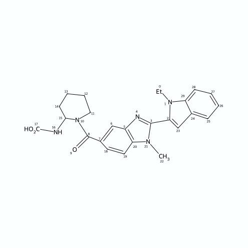 CCn1c(-c2nc3cc(C(=O)N4CCCCC4NC(=O)O)ccc3n2C)cc2ccccc21